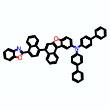 c1ccc(-c2ccc(N(c3ccc(-c4ccccc4)cc3)c3ccc4oc5cc(-c6ccc(-c7nc8ccccc8o7)c7ccccc67)c6ccccc6c5c4c3)cc2)cc1